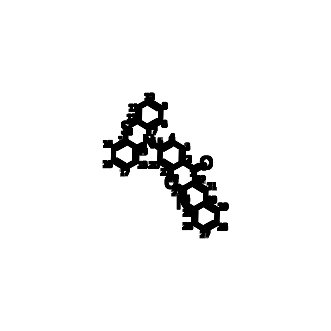 O=c1c2ccc(N3c4ccccc4Sc4ccccc43)cc2oc2nc3ccccc3cc12